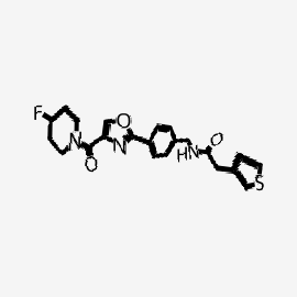 O=C(Cc1ccsc1)NCc1ccc(-c2nc(C(=O)N3CCC(F)CC3)co2)cc1